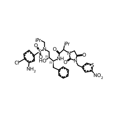 CC(C)CN(C[C@H](O)[C@H](Cc1ccccc1)NC(=O)C(C(C)C)N1CC(=O)N(Cc2csc([N+](=O)[O-])c2)C1=O)S(=O)(=O)c1ccc(Cl)c(N)c1